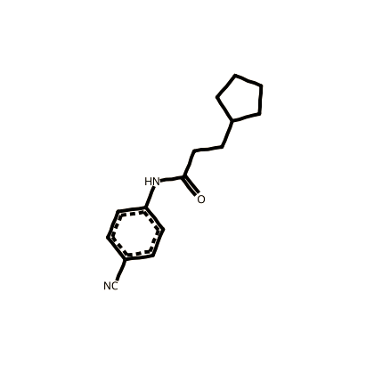 N#Cc1ccc(NC(=O)CCC2CCCC2)cc1